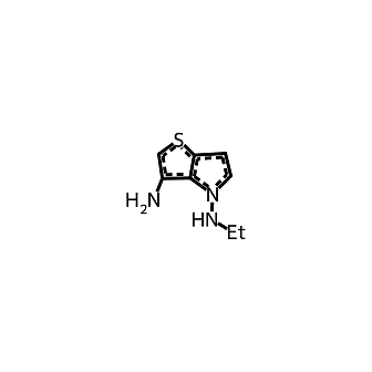 CCNn1ccc2scc(N)c21